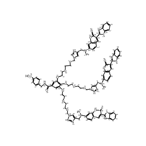 CC(C)N(Cc1cn(COCCOCCOc2cc(C(=O)NCc3ccc(C(=O)O)cc3)cc(OCCOCCOCn3cc(CN(c4ccc5cc(-c6nc7ccccc7s6)c(=O)oc5c4)C(C)C)nn3)c2OCCOCCOCn2cc(CN(c3ccc4cc(-c5nc6ccccc6s5)c(=O)oc4c3)C(C)C)nn2)nn1)c1ccc2cc(-c3nc4ccccc4s3)c(=O)oc2c1